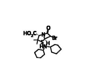 C1CCC(NC2CCCCC2)CC1.CC1(C)S[C@@H]2C(Br)C(=O)N2[C@H]1C(=O)O